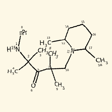 CCC[15NH]C(C)(C)C(=O)C(C)(C)CN1C(C)CCCC1C